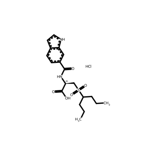 CCCC(CCC)S(=O)(=O)C[C@H](NC(=O)c1ccc2cc[nH]c2c1)C(=O)O.Cl